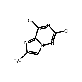 FC(F)(F)c1cn2nc(Cl)nc(Cl)c2n1